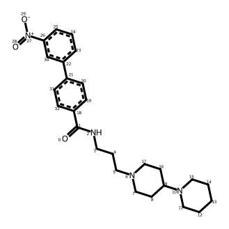 O=C(NCCCN1CCC(N2CCCCC2)CC1)c1ccc(-c2cccc([N+](=O)[O-])c2)cc1